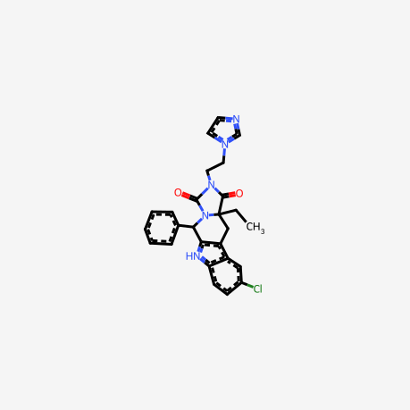 CCC12Cc3c([nH]c4ccc(Cl)cc34)C(c3ccccc3)N1C(=O)N(CCn1ccnc1)C2=O